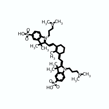 CC1=C(/C=C/C2=[N+](CCCN(C)C)c3ccc(S(=O)(=O)O)cc3C2(C)C)CCC/C1=C\C=C1\N(CCCN(C)C)c2ccc(S(=O)(=O)O)cc2C1(C)C